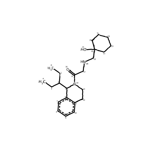 CCC(CC)C1c2ccccc2CCN1C(=O)CNCC1(O)CCCCC1